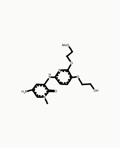 Bc1cc(Nc2ccc(OCCO)c(OCCOC)n2)c(=O)n(C)c1